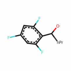 CCCC([O])c1c(F)cc(F)cc1F